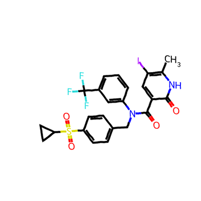 Cc1[nH]c(=O)c(C(=O)N(Cc2ccc(S(=O)(=O)C3CC3)cc2)c2cccc(C(F)(F)F)c2)cc1I